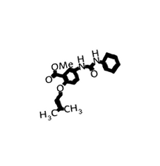 COC(=O)c1cc(NC(=O)Nc2ccccc2)ccc1OCC=C(C)C